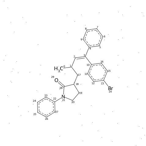 CC(C=C(c1ccccc1)c1ccc(Br)cc1)CC1CCN(c2ccccc2)C1=O